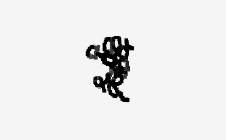 CCCOC(=O)C(=CNc1cc(Cl)c(Cl)c(C(=O)OC(C)C)c1Cl)C(C)=O